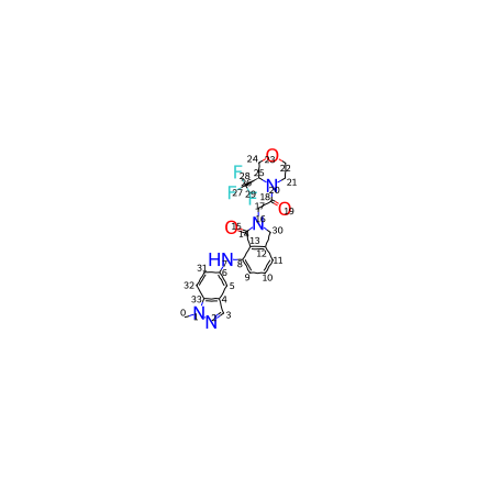 Cn1ncc2cc(Nc3cccc4c3C(=O)N(CC(=O)N3CCOC[C@@H]3C(F)(F)F)C4)ccc21